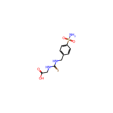 NS(=O)(=O)c1ccc(CNC(=S)NCC(=O)O)cc1